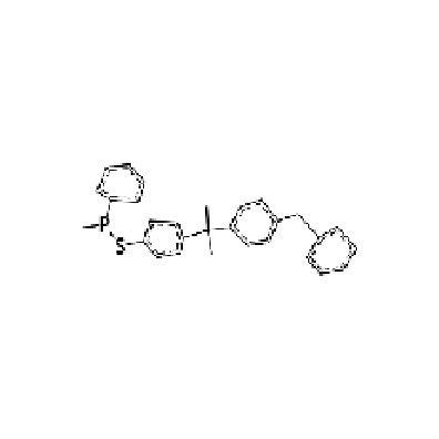 CP(Sc1ccc(C(C)(C)c2ccc(Cc3ccccc3)cc2)cc1)c1ccccc1